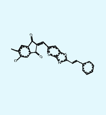 Cc1cc2c(cc1Cl)C(=O)/C(=C\c1cc3sc(/C=C/c4ccccc4)nc3s1)C2=O